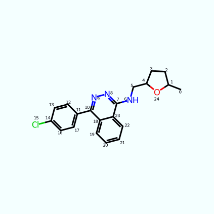 CC1CCC(CNc2nnc(-c3ccc(Cl)cc3)c3ccccc23)O1